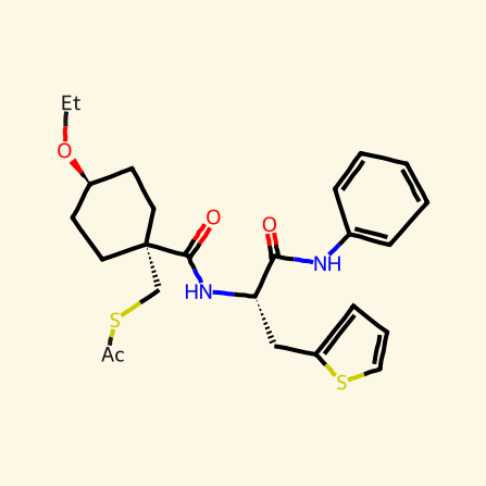 CCO[C@H]1CC[C@@](CSC(C)=O)(C(=O)N[C@@H](Cc2cccs2)C(=O)Nc2ccccc2)CC1